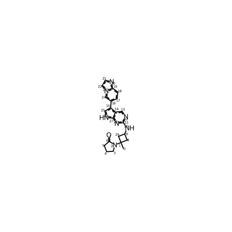 CC1(N2CCCC2=O)CC(Nc2ncc3c(-c4ccc5nccn5c4)c[nH]c3n2)C1